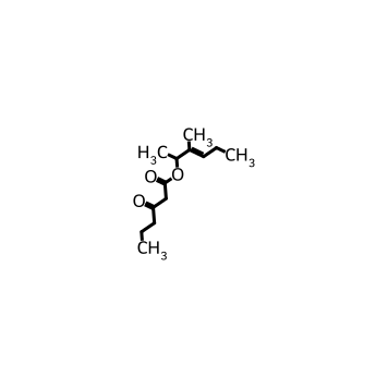 CC/C=C(\C)C(C)OC(=O)CC(=O)CCC